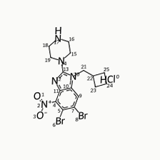 Cl.O=[N+]([O-])c1c(Br)c(Br)cc2c1nc(N1CCNCC1)n2CC1CCC1